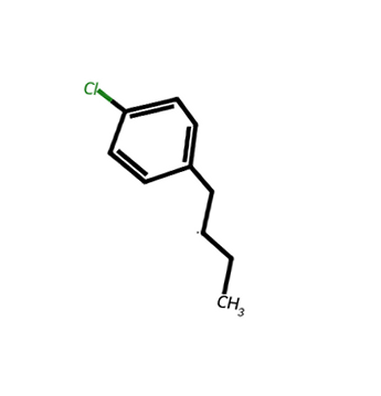 CC[CH]Cc1ccc(Cl)cc1